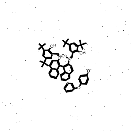 CC(C)(C)c1cc(C=[N+]2[Co][N+](=Cc3cc(C(C)(C)C)cc(C(C)(C)C)c3O)c3ccc4ccccc4c3-c3c2ccc2ccccc32)c(O)c(C(C)(C)C)c1.[O-]c1ccc(Oc2ccccc2)cc1